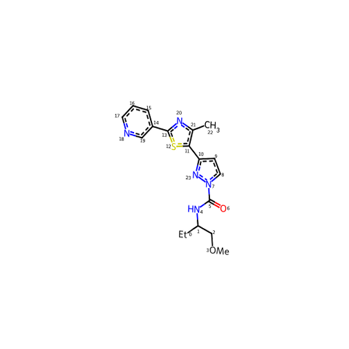 CCC(COC)NC(=O)n1ccc(-c2sc(-c3cccnc3)nc2C)n1